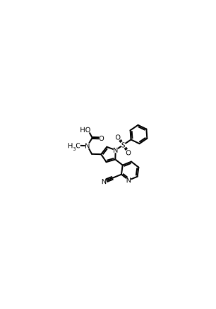 CN(Cc1cc(-c2cccnc2C#N)n(S(=O)(=O)c2ccccc2)c1)C(=O)O